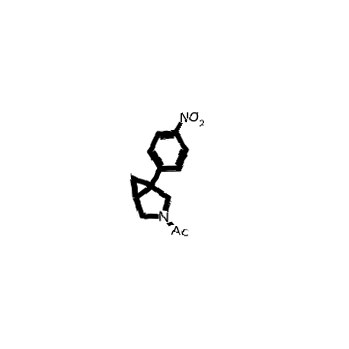 CC(=O)N1CC2CC2(c2ccc([N+](=O)[O-])cc2)C1